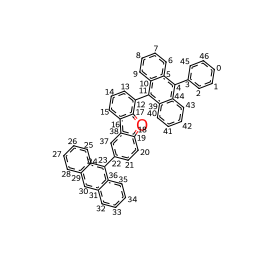 c1ccc(-c2c3ccccc3c(-c3cccc4c3oc3ccc(-c5c6ccccc6cc6ccccc56)cc34)c3ccccc23)cc1